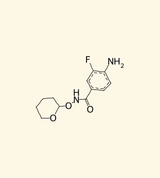 Nc1ccc(C(=O)NOC2CCCCO2)cc1F